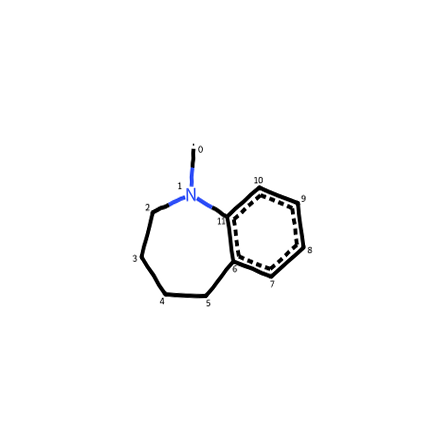 [CH2]N1CCCCc2ccccc21